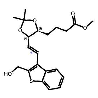 COC(=O)CCC[C@@H]1OC(C)(C)O[C@@H]1/C=C/c1c(CO)sc2ccccc12